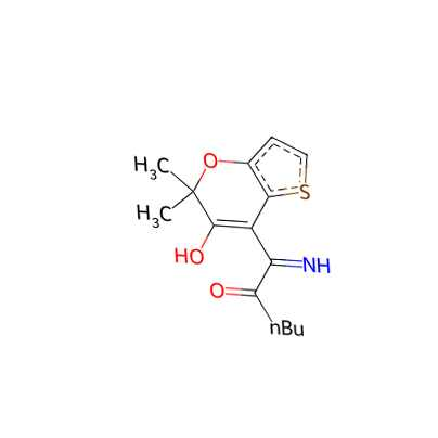 CCCCC(=O)C(=N)C1=C(O)C(C)(C)Oc2ccsc21